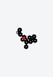 c1ccc(-c2ccc(N(c3ccc(-c4ccc5oc6ccccc6c5c4)cc3)c3ccc4c(c3)C3(c5ccccc5-c5ccccc53)c3ccccc3-4)c(-c3ccccc3)c2)cc1